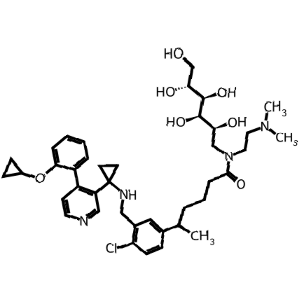 CC(CCCC(=O)N(CCN(C)C)C[C@H](O)[C@@H](O)[C@H](O)[C@H](O)CO)c1ccc(Cl)c(CNC2(c3cnccc3-c3ccccc3OC3CC3)CC2)c1